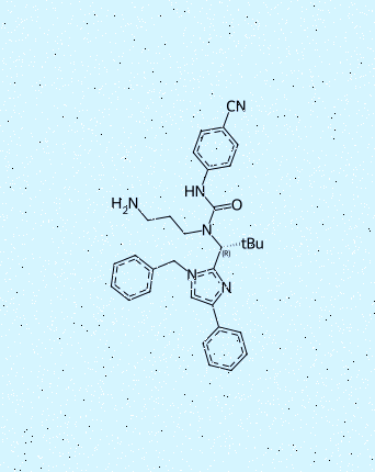 CC(C)(C)[C@H](c1nc(-c2ccccc2)cn1Cc1ccccc1)N(CCCN)C(=O)Nc1ccc(C#N)cc1